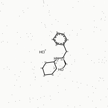 Cl.OC[C@H](Cc1ccccc1)NC1CCCCC1